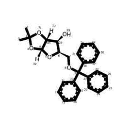 CC1(C)O[C@H]2O[C@H](COC(c3ccccc3)(c3ccccc3)c3ccccc3)[C@H](O)[C@H]2O1